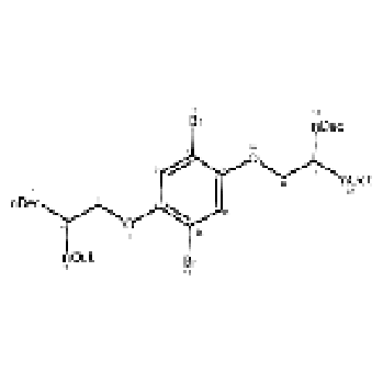 CCCCCCCCCCC(CCCCCCCC)COc1cc(Br)c(OCC(CCCCCCCC)CCCCCCCCCC)cc1Br